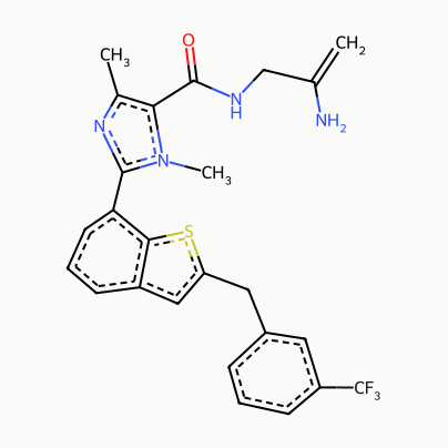 C=C(N)CNC(=O)c1c(C)nc(-c2cccc3cc(Cc4cccc(C(F)(F)F)c4)sc23)n1C